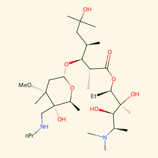 CCCNC[C@]1(O)[C@H](C)O[C@@H](O[C@@H]([C@H](C)CC(C)(C)O)[C@@H](C)C(=O)O[C@H](CC)[C@@](C)(O)[C@H](O)[C@@H](C)N(C)C)C[C@@]1(C)OC